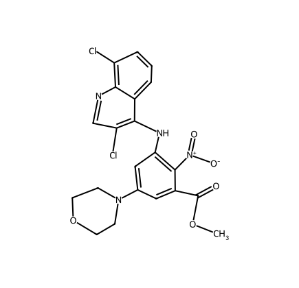 COC(=O)c1cc(N2CCOCC2)cc(Nc2c(Cl)cnc3c(Cl)cccc23)c1[N+](=O)[O-]